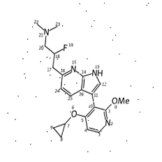 COc1nccc(OC2CC2)c1-c1c[nH]c2nc(CC(F)[CH]N(C)C)ccc12